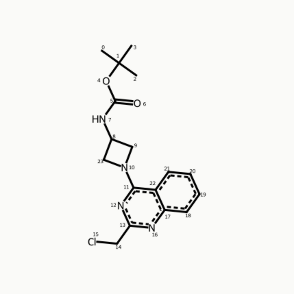 CC(C)(C)OC(=O)NC1CN(c2nc(CCl)nc3ccccc23)C1